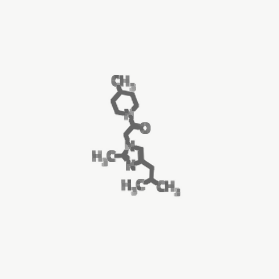 Cc1nc(CC(C)C)cn1CC(=O)N1CCC(C)CC1